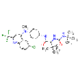 CN(c1cc(C(F)(F)F)nc2ccc(Cl)cc12)[C@H]1CC[C@@H](NC(=O)[C@@H](NC(=O)NC(C)(C)C)C(C)(C)C)CC1